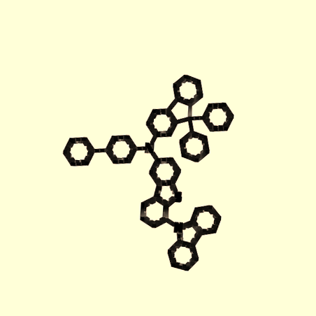 c1ccc(-c2ccc(N(c3ccc4c(c3)C(c3ccccc3)(c3ccccc3)c3ccccc3-4)c3ccc4sc5c(-n6c7ccccc7c7ccccc76)cccc5c4c3)cc2)cc1